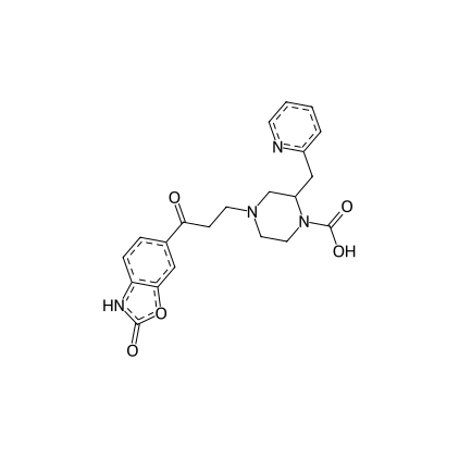 O=C(CCN1CCN(C(=O)O)C(Cc2ccccn2)C1)c1ccc2[nH]c(=O)oc2c1